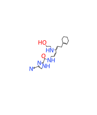 N#Cc1c[nH]c(C(=O)NC/C=C\C(=C/CC2=CCCCC2)NCCO)n1